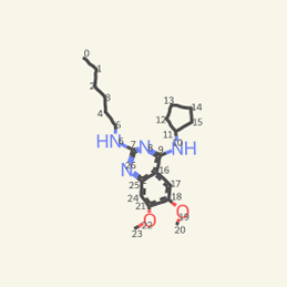 CCCCCCNc1nc(NC2CCCC2)c2cc(OC)c(OC)cc2n1